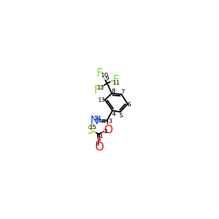 O=c1oc(-c2cccc(C(F)(F)F)c2)ns1